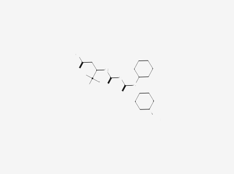 C[C@H]1CC[C@H](N(C(=O)NC(=O)NC(CC(=O)O)C(F)(F)F)C2CCCCC2)CC1